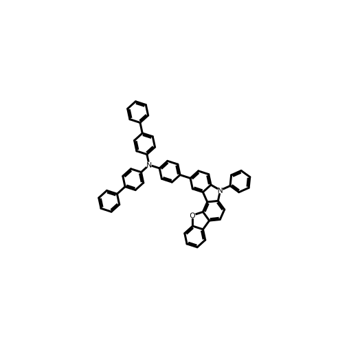 c1ccc(-c2ccc(N(c3ccc(-c4ccccc4)cc3)c3ccc(-c4ccc5c(c4)c4c6oc7ccccc7c6ccc4n5-c4ccccc4)cc3)cc2)cc1